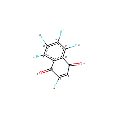 O=C1C=C(F)C(=O)c2c(F)c(F)c(F)c(F)c21